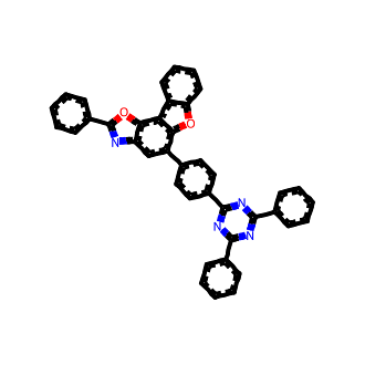 c1ccc(-c2nc(-c3ccccc3)nc(-c3ccc(-c4cc5nc(-c6ccccc6)oc5c5c4oc4ccccc45)cc3)n2)cc1